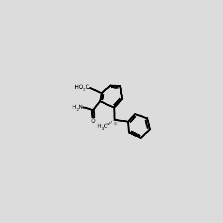 C[C@@H](c1ccccc1)c1cccc(C(=O)O)c1C(N)=O